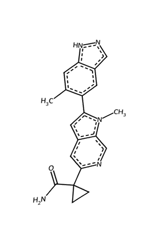 Cc1cc2[nH]ncc2cc1-c1cc2cc(C3(C(N)=O)CC3)ncc2n1C